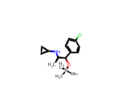 CC(NC1CC1)C(O[Si](C)(C)C(C)(C)C)c1ccc(Cl)cc1